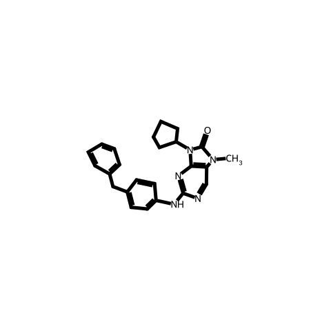 Cn1c(=O)n(C2CCCC2)c2nc(Nc3ccc(Cc4ccccc4)cc3)ncc21